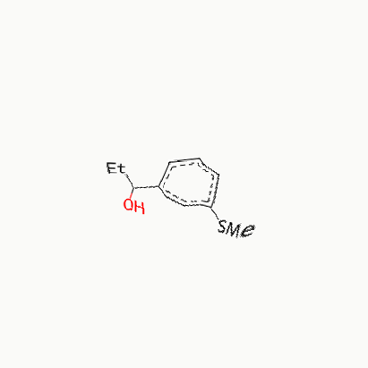 CCC(O)c1cccc(SC)c1